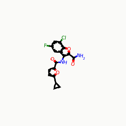 NC(=O)c1oc2c(Cl)cc(F)cc2c1NC(=O)c1ccc(C2CC2)o1